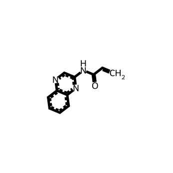 C=CC(=O)Nc1cnc2ccccc2n1